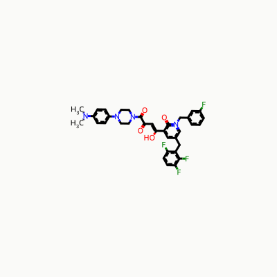 CN(C)c1ccc(N2CCN(C(=O)C(=O)C=C(O)c3cc(Cc4c(F)ccc(F)c4F)cn(Cc4cccc(F)c4)c3=O)CC2)cc1